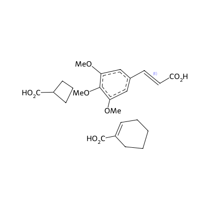 COc1cc(/C=C/C(=O)O)cc(OC)c1OC.O=C(O)C1=CCCCC1.O=C(O)C1CCC1